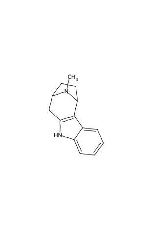 CN1C2CCC1c1c([nH]c3ccccc13)C2